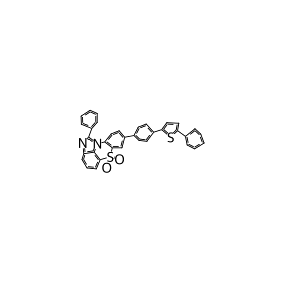 O=S1(=O)c2cc(-c3ccc(-c4ccc(-c5ccccc5)s4)cc3)ccc2-n2c(-c3ccccc3)nc3cccc1c32